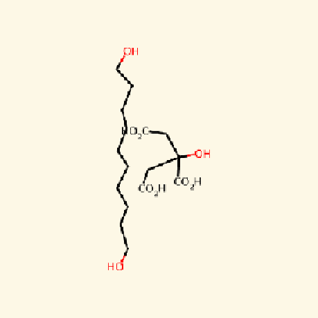 O=C(O)CC(O)(CC(=O)O)C(=O)O.OCCCCCCCCCCO